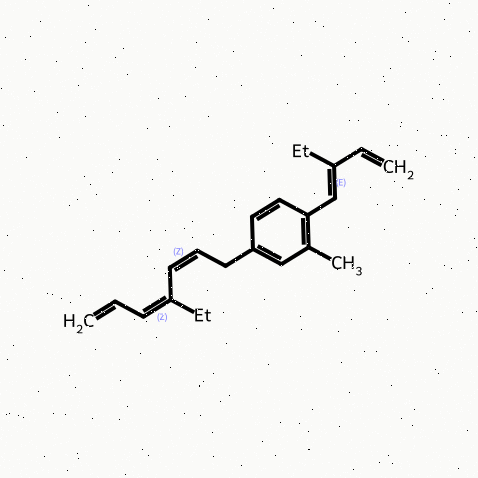 C=C/C=C(\C=C/Cc1ccc(/C=C(/C=C)CC)c(C)c1)CC